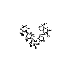 Cc1c(C(F)(F)F)cn(C)c(=O)c1-c1ccc(C[C@H](NC(=O)c2c(F)cc(N3CCOC[C@@H]3C(F)(F)F)cc2F)C(=O)O)cc1